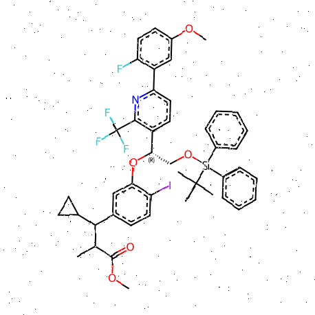 COC(=O)C(C)C(c1ccc(I)c(O[C@@H](CO[Si](c2ccccc2)(c2ccccc2)C(C)(C)C)c2ccc(-c3cc(OC)ccc3F)nc2C(F)(F)F)c1)C1CC1